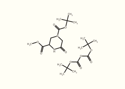 CC(C)(C)OC(=O)OC(=O)OC(C)(C)C.COC(=O)C1CN(C(=O)OC(C)(C)C)CC(=O)N1